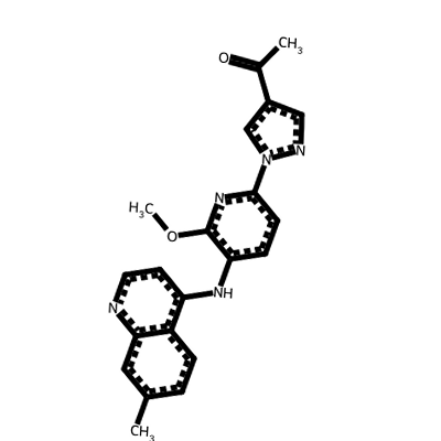 COc1nc(-n2cc(C(C)=O)cn2)ccc1Nc1ccnc2cc(C)ccc12